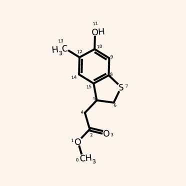 COC(=O)CC1CSc2cc(O)c(C)cc21